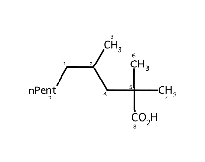 CCCCCCC(C)CC(C)(C)C(=O)O